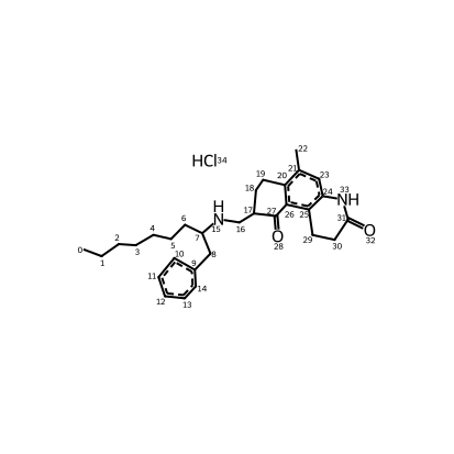 CCCCCCCC(Cc1ccccc1)NCC1CCc2c(C)cc3c(c2C1=O)CCC(=O)N3.Cl